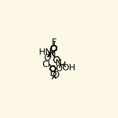 CC(O)C(Oc1cc(Cl)cc2c1OC(C)(C)C2)N1CCC(n2c(=O)[nH]c3cc(F)ccc32)CC1